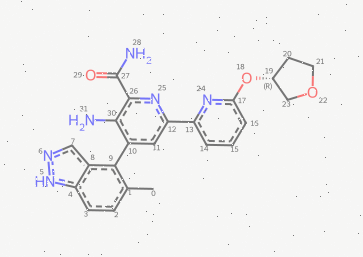 Cc1ccc2[nH]ncc2c1-c1cc(-c2cccc(O[C@@H]3CCOC3)n2)nc(C(N)=O)c1N